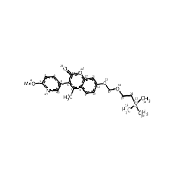 COc1ccc(-c2c(C)c3ccc(OCOCC[Si](C)(C)C)cc3oc2=O)cn1